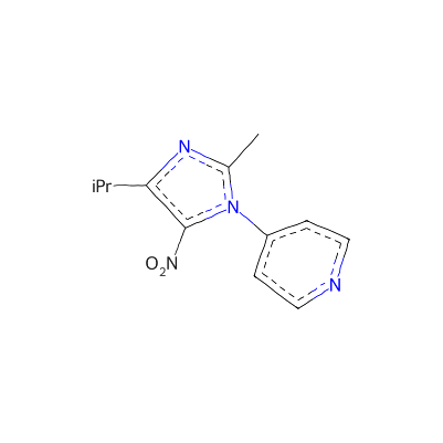 Cc1nc(C(C)C)c([N+](=O)[O-])n1-c1ccncc1